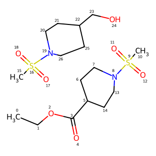 CCOC(=O)C1CCN(S(C)(=O)=O)CC1.CS(=O)(=O)N1CCC(CO)CC1